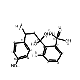 CC(CC(O)(O)c1c(O)cccc1P(=O)(O)O)c1ccc(O)cc1